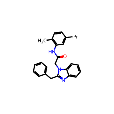 Cc1ccc(C(C)C)cc1NC(=O)Cn1c(Cc2ccccc2)nc2ccccc21